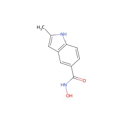 Cc1cc2cc(C(=O)NO)ccc2[nH]1